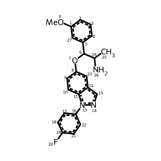 COc1cccc(C(Oc2ccc3c(cnn3-c3ccc(F)cc3)c2)C(C)N)c1